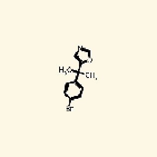 CC(C)(c1ccc(Br)cc1)c1cnco1